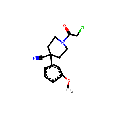 COc1cccc(C2(C#N)CCN(C(=O)CCl)CC2)c1